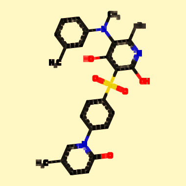 CCCCc1nc(O)c(S(=O)(=O)c2ccc(-n3cc(C)ccc3=O)cc2)c(O)c1N(C)c1cccc(C)c1